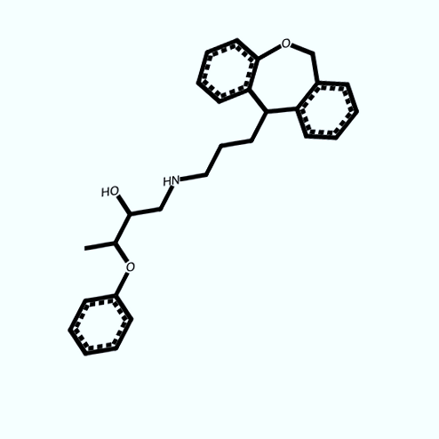 CC(Oc1ccccc1)C(O)CNCCCC1c2ccccc2COc2ccccc21